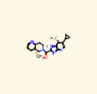 Cc1c(C2CC2)cnc2nc(C(=O)N3CCc4ncccc4[C@H]3C)[nH]c12